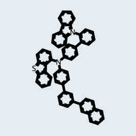 c1cc(-c2ccc(N(c3ccc(-c4ccccc4-n4c5ccccc5c5ccccc54)cc3)c3cccc4sc5ccccc5c34)cc2)cc(-c2ccc3ccccc3c2)c1